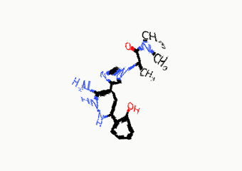 CC(C(=O)N(C)C)n1cnc(C2=C(N)NNC(c3ccccc3O)=C2)c1